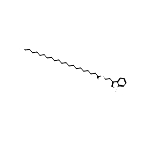 C=C(CCCCCCCCCCCCCCCCCCCCC)NCCc1cn(C)c2ccccc12